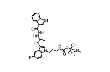 CC(C)(C)OC(=O)NCCCn1cc(NC(=O)NNC(=O)c2c[nH]c3ncccc23)c2cc(F)ccc21